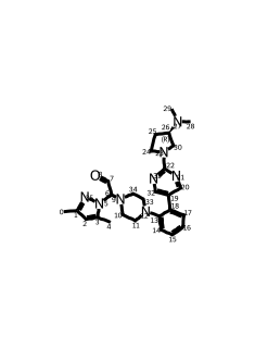 Cc1cc(C)n(C(C=O)N2CCN(c3ccccc3-c3cnc(N4CC[C@@H](N(C)C)C4)nc3)CC2)n1